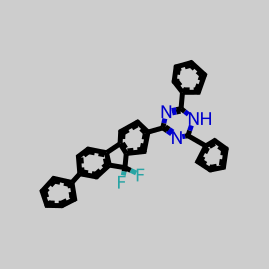 FC1(F)c2cc(C3=NC(c4ccccc4)NC(c4ccccc4)=N3)ccc2-c2ccc(-c3ccccc3)cc21